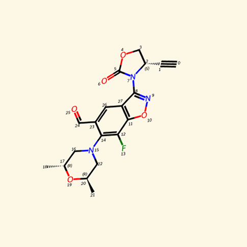 C#C[C@H]1COC(=O)N1c1noc2c(F)c(N3C[C@@H](C)O[C@H](C)C3)c(C=O)cc12